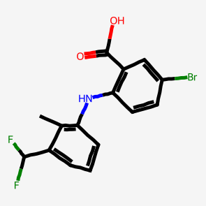 Cc1c(Nc2ccc(Br)cc2C(=O)O)cccc1C(F)F